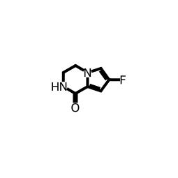 O=C1NCCn2cc(F)cc21